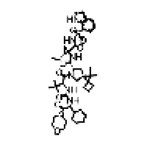 CC[C@@H]1C[C@]1(NC(=O)[C@@H]1C[C@@]2(CN1C(=O)[C@@H](NC(=O)N[C@H](C(=O)N1CCOCC1)C1CCCCC1)C(C)(C)C)C(C)(C)C21CCC1)C(=O)NS(=O)(=O)c1cccc2cc[nH]c12